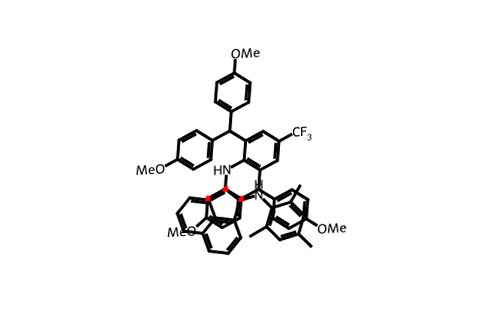 COc1ccc(C(c2ccc(OC)cc2)c2cc(C(F)(F)F)cc(C(c3ccc(OC)cc3)c3ccc(OC)cc3)c2NC2c3cccc4cccc(c34)C2Nc2c(C)cc(C)cc2C)cc1